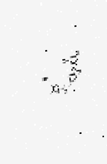 Cc1nc(C(=O)COc2ccc(S(=O)(=O)Cc3cc(Cl)cc(Cl)c3)cc2)sc1CCO